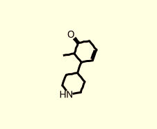 CC1C(=O)CC=CC1C1CCNCC1